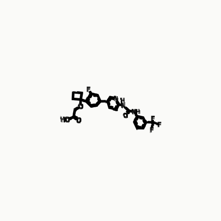 O=C(O)COC1(c2ccc(-c3ccc(NC(=O)Nc4cccc(C(F)(F)F)c4)nc3)cc2F)CCC1